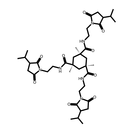 CC(C)C1CC(=O)N(CCNC(=O)[C@]2(C)C[C@](C)(C(=O)NCCN3C(=O)CC(C(C)C)C3=O)C[C@](C)(C(=O)NCCN3C(=O)CC(C(C)C)C3=O)C2)C1=O